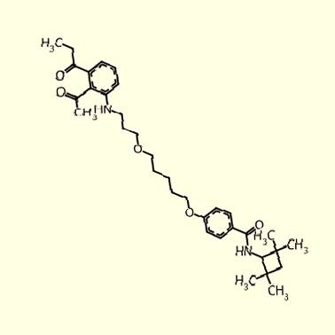 CCC(=O)c1cccc(NCCCOCCCCCOc2ccc(C(=O)NC3C(C)(C)CC3(C)C)cc2)c1C(C)=O